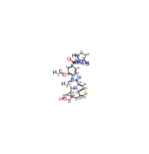 COc1cc(C(=O)N2C[C@H]3CC[C@@H]2[C@@H]3N)cc2nc(-c3cc4scc(CCCO)c4n3CC3CC3)n(C)c12